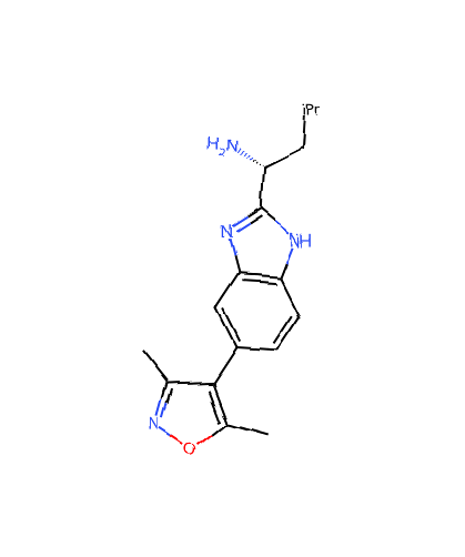 Cc1noc(C)c1-c1ccc2[nH]c([C@H](N)CC(C)C)nc2c1